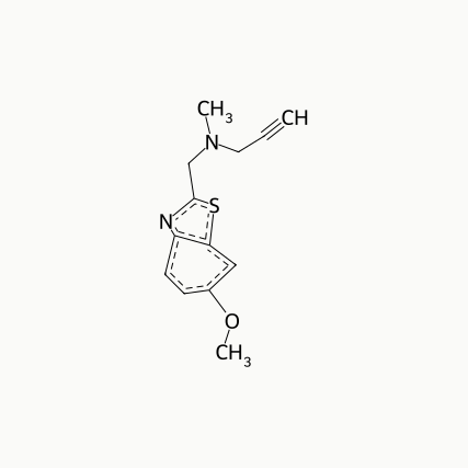 C#CCN(C)Cc1nc2ccc(OC)cc2s1